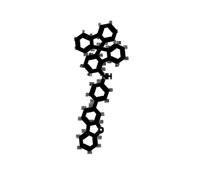 c1ccc2c(c1)-c1ccccc1C21c2ccccc2-c2c(Nc3ccc(-c4ccc5c(c4)oc4ccccc45)cc3)cccc21